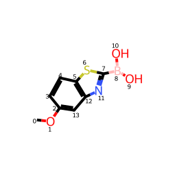 COc1ccc2sc(B(O)O)nc2c1